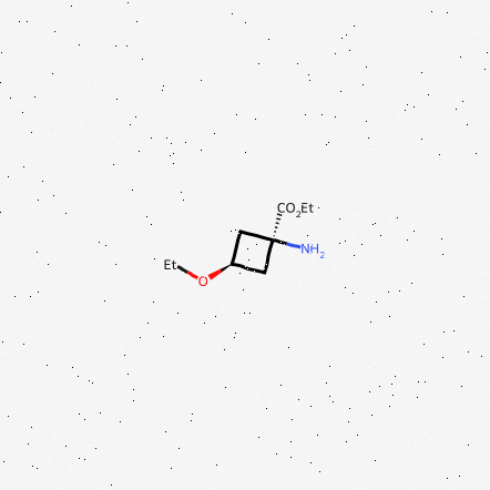 CCOC(=O)[C@]1(N)C[C@@H](OCC)C1